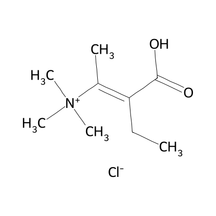 CCC(C(=O)O)=C(C)[N+](C)(C)C.[Cl-]